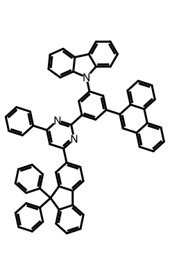 c1ccc(-c2cc(-c3ccc4c(c3)C(c3ccccc3)(c3ccccc3)c3ccccc3-4)nc(-c3cc(-c4cc5ccccc5c5ccccc45)cc(-n4c5ccccc5c5ccccc54)c3)n2)cc1